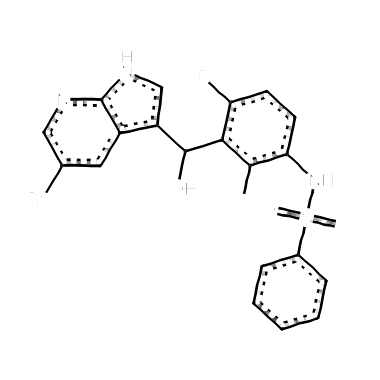 O=S(=O)(Nc1ccc(F)c(C(O)c2c[nH]c3ncc(Br)cc23)c1F)c1ccccc1